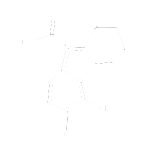 O=C1CCCc2c1n(C(=O)O)c1ccc(Cl)c(Cl)c21